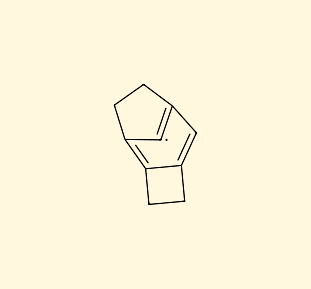 [c]1c2cc3c(c1CC2)CC3